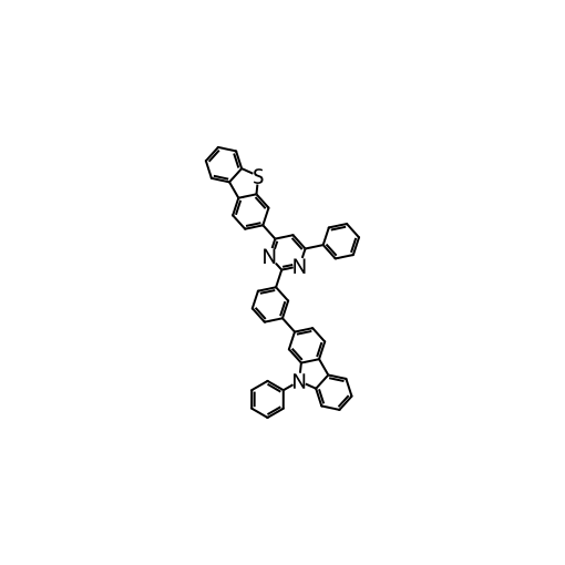 c1ccc(-c2cc(-c3ccc4c(c3)sc3ccccc34)nc(-c3cccc(-c4ccc5c6ccccc6n(-c6ccccc6)c5c4)c3)n2)cc1